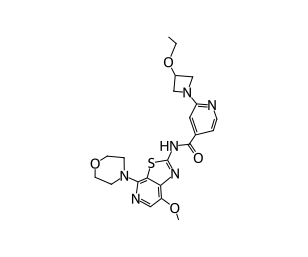 CCOC1CN(c2cc(C(=O)Nc3nc4c(OC)cnc(N5CCOCC5)c4s3)ccn2)C1